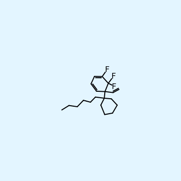 C=CC1(C2(CCCCCC)CCCCC2)C=CC=C(F)C1(F)F